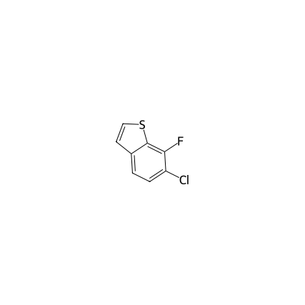 Fc1c(Cl)ccc2ccsc12